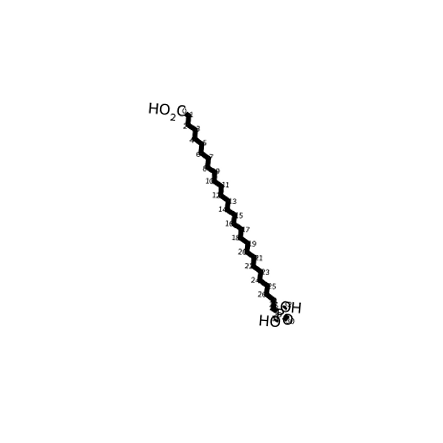 O=C(O)CCCCCCCCCCCCCCCCCCCCCCCCCCCCP(=O)(O)O